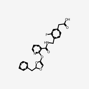 O=C(O)Cc1ccc(CNC(=O)c2cccnc2OC2=COC(Cc3ccccc3)O2)c(F)c1